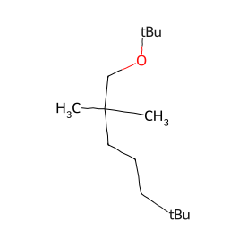 CC(C)(C)CCCC(C)(C)COC(C)(C)C